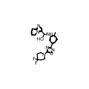 Cc1ccc(-c2noc(N3CCC(F)(F)CC3)n2)cc1NC(O)c1cnc2ccccn12